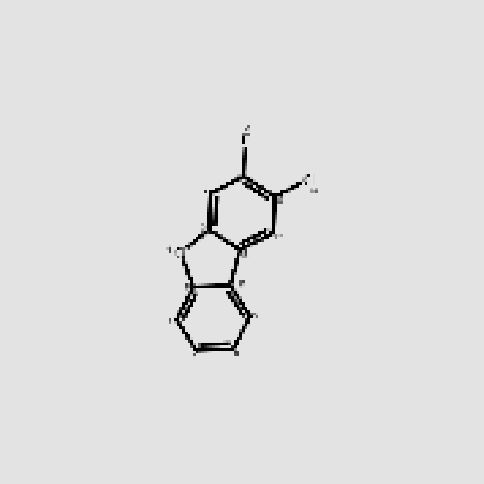 Fc1cc2oc3ccccc3c2cc1Cl